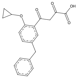 O=C(O)C(=O)CC(=O)c1cc(Cc2ccccc2)ccc1OC1CC1